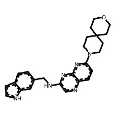 c1cc2ccc(CNc3cnc4ccc(N5CCC6(CCOCC6)CC5)nc4n3)cc2[nH]1